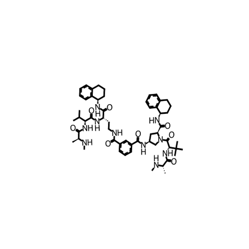 CN[C@@H](C)C(=O)N[C@H](C(=O)N[C@@H](CCNC(=O)c1cccc(C(=O)N[C@H]2C[C@@H](C(=O)N[C@@H]3CCCc4ccccc43)N(C(=O)[C@@H](NC(=O)[C@H](C)NC)C(C)(C)C)C2)c1)C(=O)N[C@@H]1CCCc2ccccc21)C(C)C